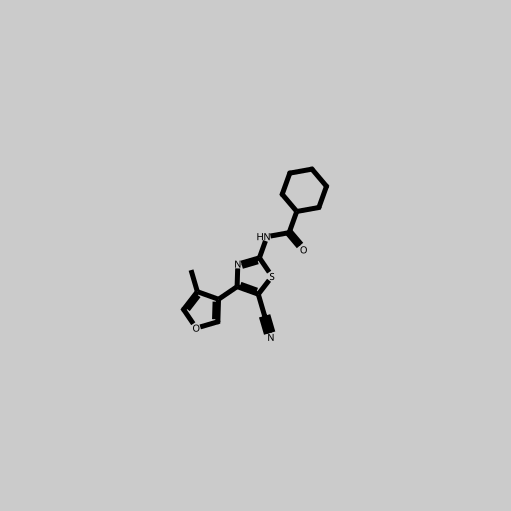 Cc1cocc1-c1nc(NC(=O)C2CCCCC2)sc1C#N